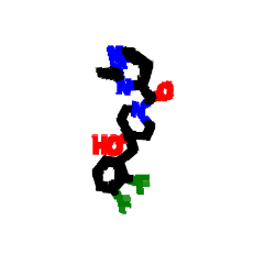 Cc1nccc(C(=O)N2CCC(O)(Cc3cccc(F)c3F)CC2)n1